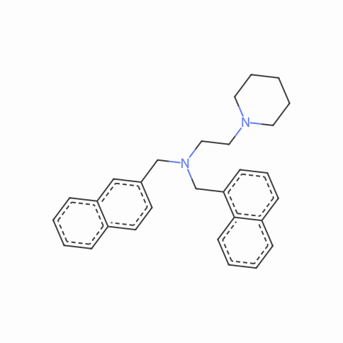 c1ccc2cc(CN(CCN3CCCCC3)Cc3cccc4ccccc34)ccc2c1